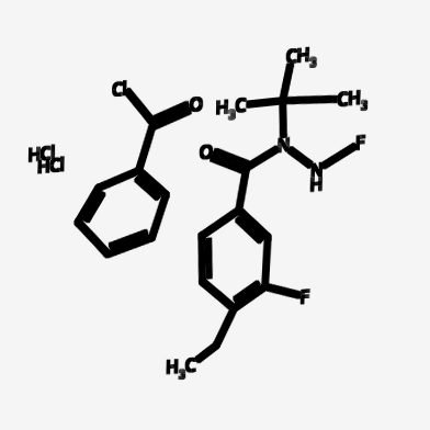 CCc1ccc(C(=O)N(NF)C(C)(C)C)cc1F.Cl.Cl.O=C(Cl)c1ccccc1